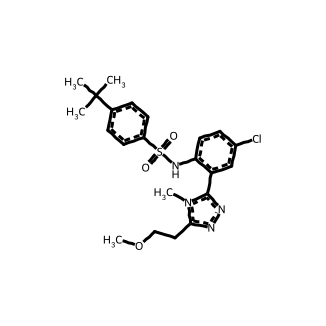 COCCc1nnc(-c2cc(Cl)ccc2NS(=O)(=O)c2ccc(C(C)(C)C)cc2)n1C